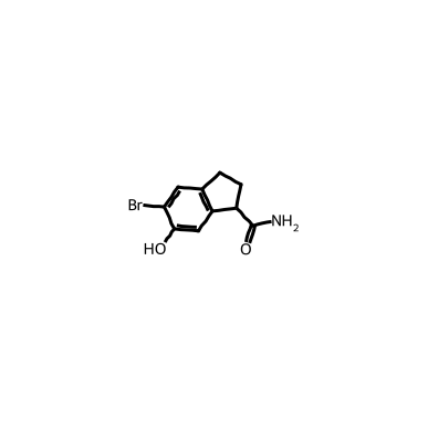 NC(=O)C1CCc2cc(Br)c(O)cc21